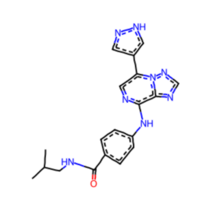 CC(C)CNC(=O)c1ccc(Nc2ncc(-c3cn[nH]c3)n3ncnc23)cc1